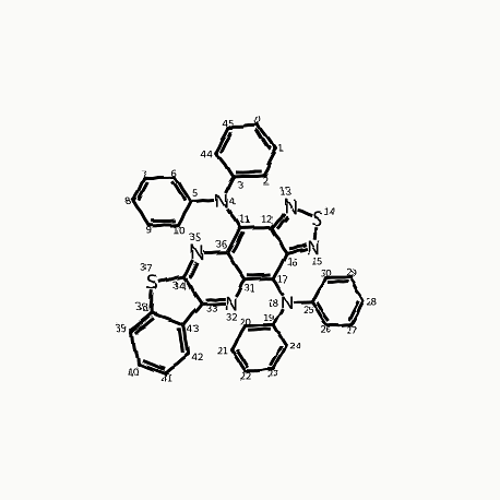 c1ccc(N(c2ccccc2)c2c3nsnc3c(N(c3ccccc3)c3ccccc3)c3nc4c(nc23)sc2ccccc24)cc1